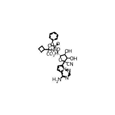 C[C@@](NP(=O)(OC[C@H]1O[C@@](C#N)(c2ccc3c(N)ncnn23)[C@H](O)[C@@H]1O)Oc1ccccc1)(C(=O)O)C1CCC1